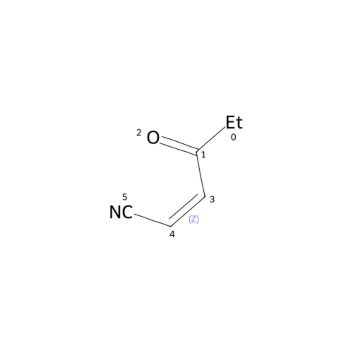 CCC(=O)/C=C\C#N